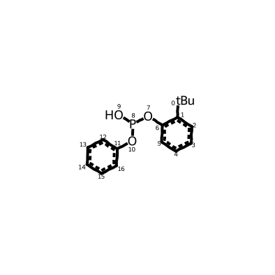 CC(C)(C)c1ccccc1OP(O)Oc1ccccc1